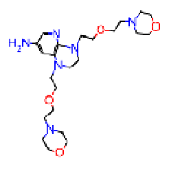 Nc1cnc2c(c1)N(CCOCCN1CCOCC1)CCN2CCOCCN1CCOCC1